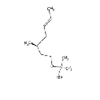 CC=CC[C@H](C)CCO[Si](C)(C)C(C)(C)C